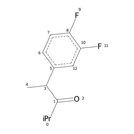 CC(C)C(=O)C(C)c1ccc(F)c(F)c1